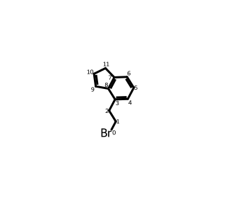 BrCCc1cccc2c1C=CC2